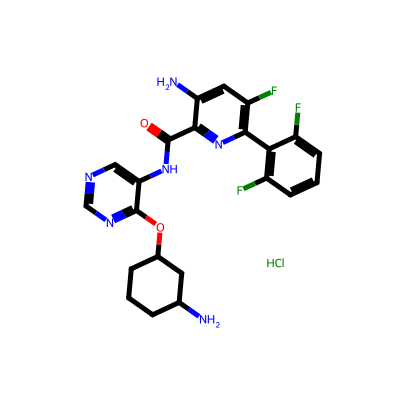 Cl.Nc1cc(F)c(-c2c(F)cccc2F)nc1C(=O)Nc1cncnc1OC1CCCC(N)C1